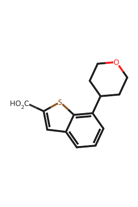 O=C(O)c1cc2cccc(C3CCOCC3)c2s1